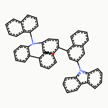 c1ccc(-c2ccccc2N(c2ccc(-c3cc(-n4c5ccccc5c5ccccc54)cc4ccccc34)cc2)c2cccc3ccccc23)cc1